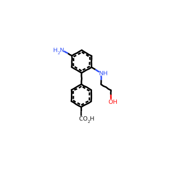 Nc1ccc(NCCO)c(-c2ccc(C(=O)O)cc2)c1